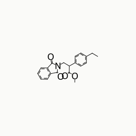 CCc1ccc(C(CN2C(=O)c3ccccc3C2=O)C(=O)OC)cc1